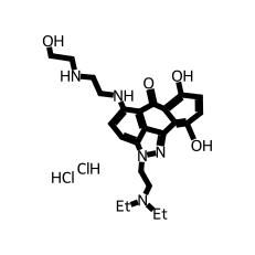 CCN(CC)CCn1nc2c3c(c(NCCNCCO)ccc31)C(=O)c1c(O)ccc(O)c1-2.Cl.Cl